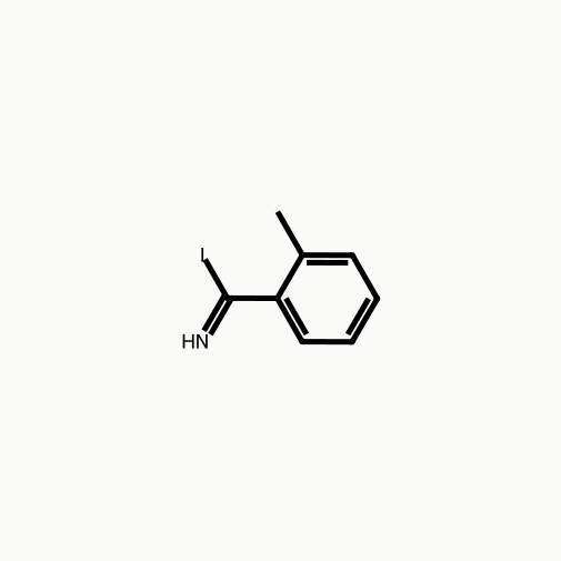 Cc1ccccc1C(=N)I